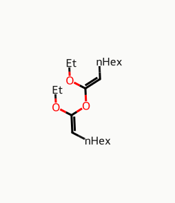 CCCCCCC=C(OCC)OC(=CCCCCCC)OCC